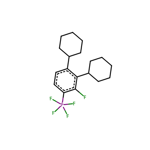 Fc1c(P(F)(F)(F)F)ccc(C2CCCCC2)c1C1CCCCC1